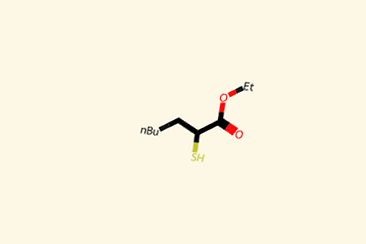 CCCCCC(S)C(=O)OCC